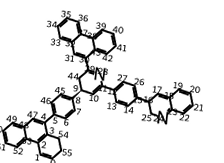 C1=Cc2c(c(-c3ccc([C@@H]4C=C(c5ccc(C6C=c7ccccc7=NC6)cc5)N=C(c5cc6ccccc6c6ccccc56)C4)cc3)cc3ccccc23)CC1